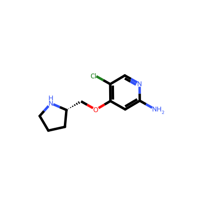 Nc1cc(OC[C@@H]2CCCN2)c(Cl)cn1